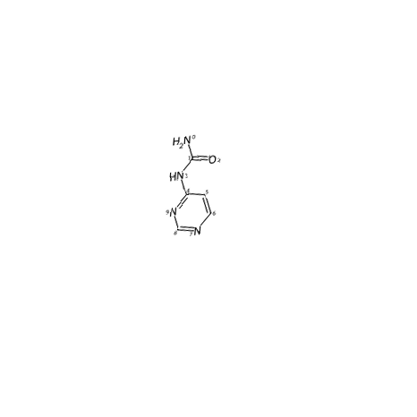 NC(=O)Nc1ccncn1